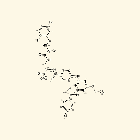 COC(=O)[C@H](CNC(=O)C(=O)NCc1cc(F)ccc1F)NC(=O)c1ccc(Nc2nc(NC3(c4ccc(Cl)cc4)CC3)nc(OCC(F)(F)F)n2)cc1